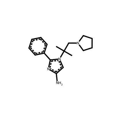 CC(C)(CN1CCCC1)n1cc(N)nc1-c1ccccc1